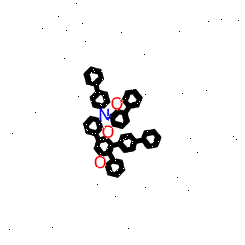 c1ccc(-c2ccc(-c3c4oc5c(N(c6ccc(-c7ccccc7)cc6)c6cccc7c6oc6ccccc67)cccc5c4cc4oc5ccccc5c34)cc2)cc1